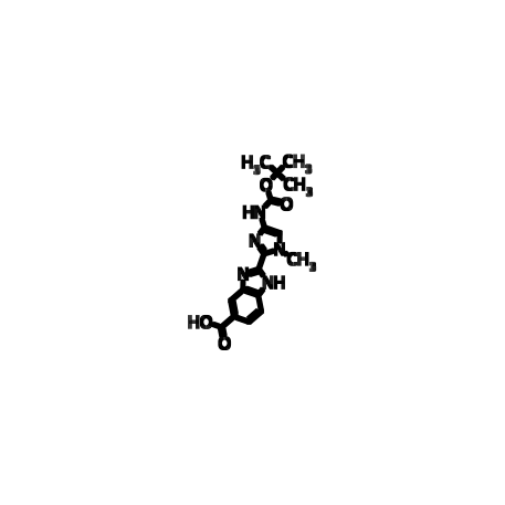 Cn1cc(NC(=O)OC(C)(C)C)nc1-c1nc2cc(C(=O)O)ccc2[nH]1